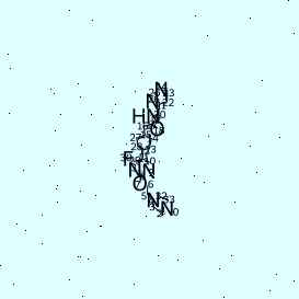 CN1CCN(CCOc2ncc(-c3ccc(CC(=O)NCc4ccncn4)cc3)c(F)n2)CC1